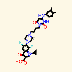 Cc1ccc(Nc2cc(=O)n(CCCCN3CCN(c4c(F)cc5c(=O)c(C(=O)O)cn(C6CC6)c5c4F)C[C@H]3C)c(=O)[nH]2)cc1C